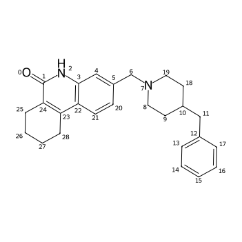 O=c1[nH]c2cc(CN3CCC(Cc4ccccc4)CC3)ccc2c2c1CCCC2